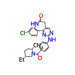 CCC1CCC(C)N(C(=O)c2ccc(Nc3ncc4c(n3)-c3ccc(Cl)cc3NC(=O)C4)cc2)C1